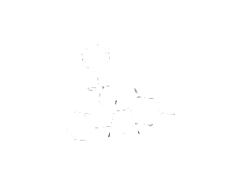 B[C@]12C[C@H]3C(=O)N(C)[C@@H](C)C(=O)N3[C@H]1N(S(=O)(=O)c1ccccc1)c1ccccc12